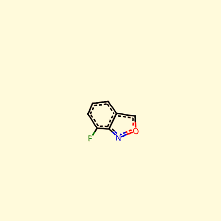 Fc1cccc2conc12